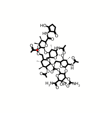 CC(=O)NC1[C@H](O[C@@H]2C(CO[C@@H]3OC(COC(C)=O)[C@@H](C)[C@H](C)C3OC(C)=O)O[C@@H](OC3C(OC(C)=O)OC(C(N)=O)[C@@](C)(O)[C@@H]3OC(N)=O)C(NC(C)=O)[C@H]2C)OC(C)[C@@H](O[C@@H]2OC(C(=O)NC3=C(O)CCC3=O)[C@H](C)[C@H](C)C2OC(C)=O)[C@@H]1C